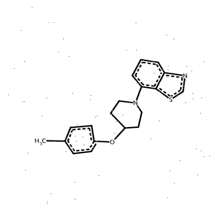 Cc1ccc(OC2CCN(c3cccc4ncsc34)CC2)cc1